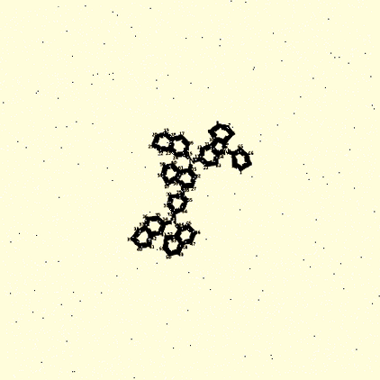 c1ccc(-n2c3ccccc3c3cc(N(c4ccc5ccccc5c4)c4ccc(-c5ccc(N(c6ccc7ccccc7c6)c6cccc7ccccc67)cc5)c5ccccc45)ccc32)cc1